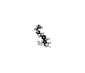 CC1(C)/C(=C/N)C(=N)c2[nH]c3ccc(C(=O)NC4CCN(C(=O)c5ncn[nH]5)C4)cc3c21